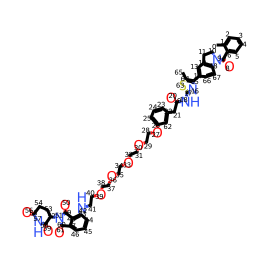 Cc1ccccc1C(=O)N1CCc2cc(-c3nc(NC(=O)Cc4cccc(OCCOCCOCCOCCOCCNc5cccc6c5C(=O)N(C5CCC(=O)NC5=O)C6=O)c4)sc3C)ccc21